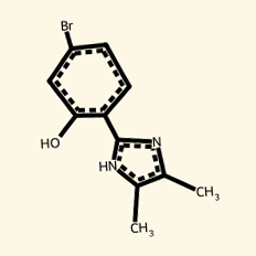 Cc1nc(-c2ccc(Br)cc2O)[nH]c1C